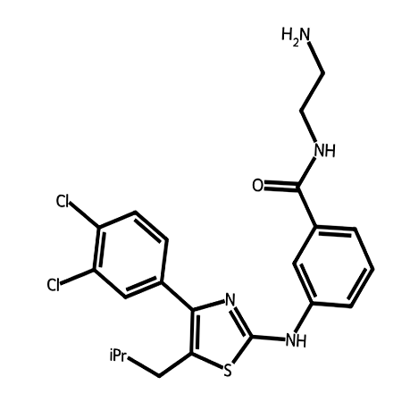 CC(C)Cc1sc(Nc2cccc(C(=O)NCCN)c2)nc1-c1ccc(Cl)c(Cl)c1